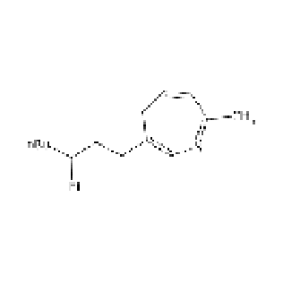 CCCCC(CC)CCC1=CN=C(C)C=CC1